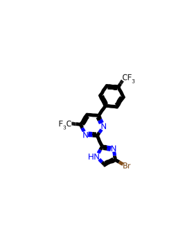 FC(F)(F)c1ccc(-c2cc(C(F)(F)F)nc(-c3nc(Br)c[nH]3)n2)cc1